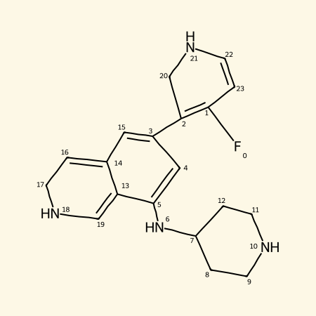 FC1=C(c2cc(NC3CCNCC3)c3c(c2)=CCNC=3)CNC=C1